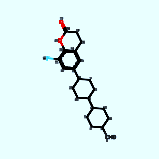 O=CC1CCC(C2CCC(c3cc(F)c4c(c3)CCC(=O)O4)CC2)CC1